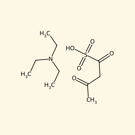 CC(=O)CC(=O)S(=O)(=O)O.CCN(CC)CC